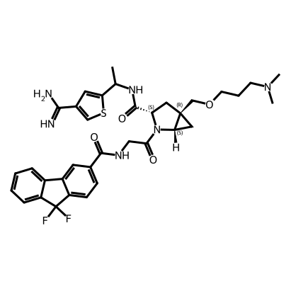 CC(NC(=O)[C@@H]1C[C@]2(COCCCN(C)C)C[C@@H]2N1C(=O)CNC(=O)c1ccc2c(c1)-c1ccccc1C2(F)F)c1cc(C(=N)N)cs1